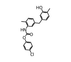 Cc1ccc(Cc2ccc(C)c(NC(=O)Oc3ccc(Cl)cc3)c2)cc1O